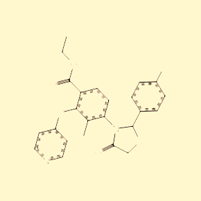 CCOC(=O)c1ccc(N2C(=O)CSC2c2ccc(F)cc2)c(C)c1Sc1ccncc1